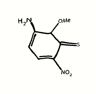 COC1C(=S)C([N+](=O)[O-])=CC=C1N